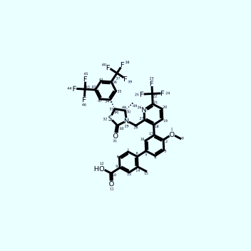 COc1ccc(-c2ccc(C(=O)O)cc2C)cc1-c1ccc(C(F)(F)F)nc1CN1C(=O)S[C@H](c2cc(C(F)(F)F)cc(C(F)(F)F)c2)[C@@H]1C